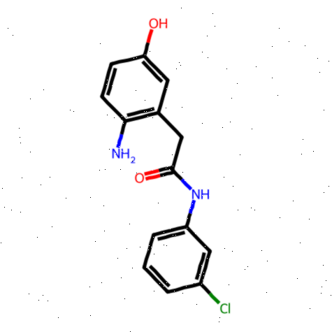 Nc1ccc(O)cc1CC(=O)Nc1cccc(Cl)c1